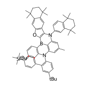 Cc1cc2c3c(c1)N(c1ccc4c(c1)C(C)(C)CCC4(C)C)c1c(oc4cc5c(cc14)C(C)(C)CCC5(C)C)B3c1ccc(C(C)(C)C)cc1N2c1ccc(C(C)(C)C)cc1-c1ccc([Si](C)(C)C)cc1